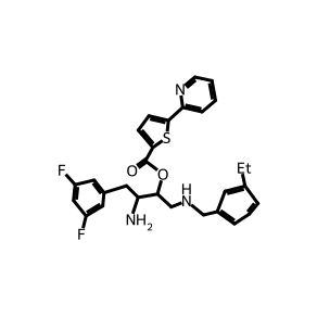 CCc1cccc(CNCC(OC(=O)c2ccc(-c3ccccn3)s2)C(N)Cc2cc(F)cc(F)c2)c1